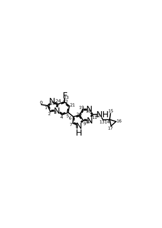 Cc1cn2cc(-c3c[nH]c4nc(NCC5(C)CC5)ncc34)cc(F)c2n1